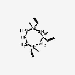 C=C[N+]1(C)[SiH2]N[SiH2][N+](C)(C=C)[SiH2][N+](C)(C=C)[SiH2]1